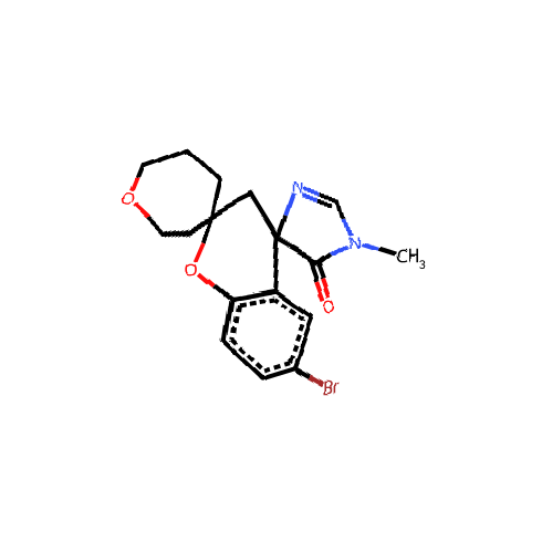 CN1C=NC2(CC3(CCCOC3)Oc3ccc(Br)cc32)C1=O